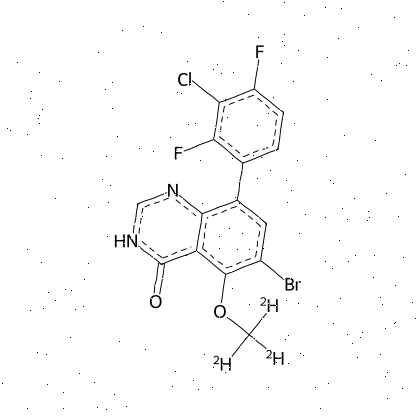 [2H]C([2H])([2H])Oc1c(Br)cc(-c2ccc(F)c(Cl)c2F)c2nc[nH]c(=O)c12